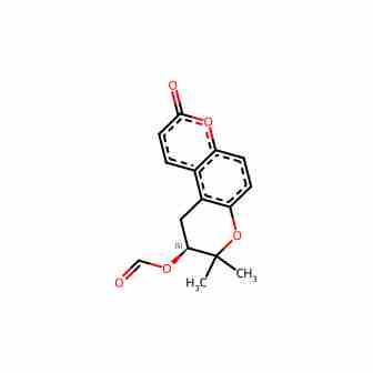 CC1(C)Oc2ccc3oc(=O)ccc3c2C[C@@H]1OC=O